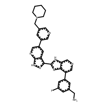 NCc1cc(F)cc(-c2cncc3[nH]c(-c4n[nH]c5ncc(-c6cncc(CN7CCCCC7)c6)cc45)nc23)c1